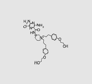 Nc1nc(N)c(C(=O)N[C@H]2CCC[N+](CCCc3ccc(OCCO)cc3)(CCCc3ccc(OCCO)cc3)C2)nc1Cl